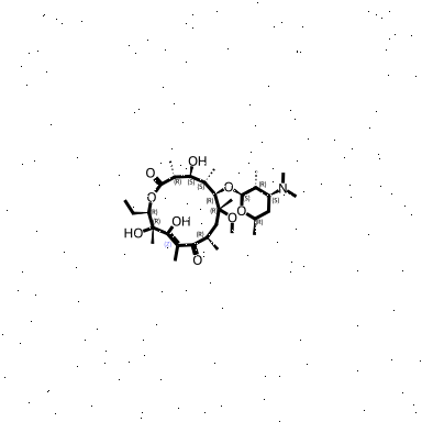 CC[C@H]1OC(=O)[C@H](C)[C@@H](O)[C@H](C)[C@@H](O[C@@H]2O[C@H](C)C[C@H](N(C)C)[C@H]2C)[C@](C)(OC)C[C@@H](C)C(=O)/C(C)=C(\O)[C@]1(C)O